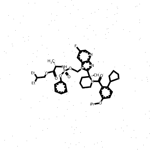 CCC(CC)COC(=O)[C@H](C)N[P@@](=O)(OCn1c([C@]2(C)CCCCN2C(=O)c2cc(OC(C)C)ccc2C2CCCC2)nc2ncc(F)cc21)Oc1ccccc1